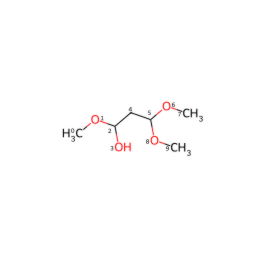 COC(O)CC(OC)OC